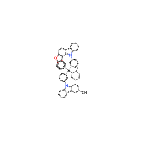 CC1C=CC=CC1[Si](c1ccccc1)(c1cccc(-n2c3ccccc3c3cc(C#N)ccc32)c1)c1cccc(-n2c3ccccc3c3ccc4oc5ccccc5c4c32)c1